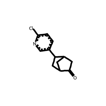 O=C1CC2CC1CC2c1ccc(Cl)nc1